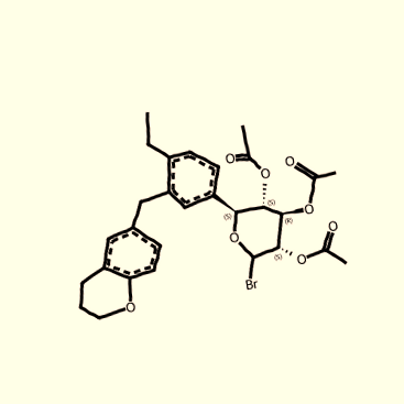 CCc1ccc([C@@H]2OC(Br)[C@@H](OC(C)=O)[C@H](OC(C)=O)[C@H]2OC(C)=O)cc1Cc1ccc2c(c1)CCCO2